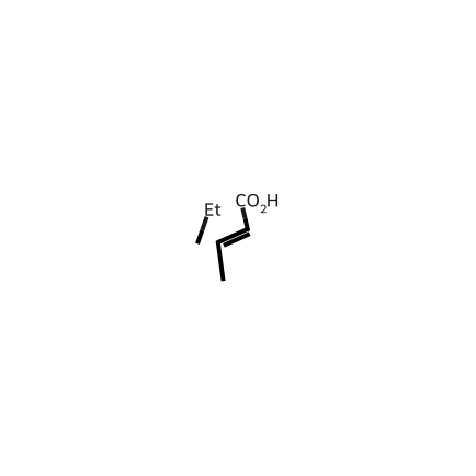 CC=CC(=O)O.CCC